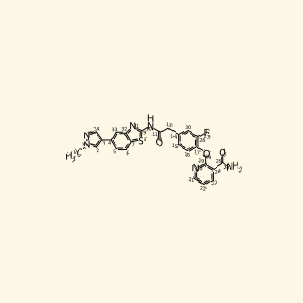 Cn1cc(-c2ccc3sc(NC(=O)Cc4ccc(Oc5ncccc5C(N)=O)c(F)c4)nc3c2)cn1